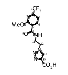 COc1cc(C(F)(F)F)ccc1C(=O)NCCn1cc(C(=O)O)nn1